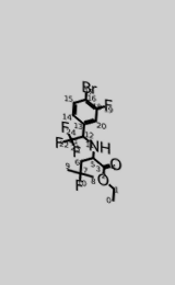 CCOC(=O)C(CC(C)(C)F)NC(c1ccc(Br)c(F)c1)C(F)(F)F